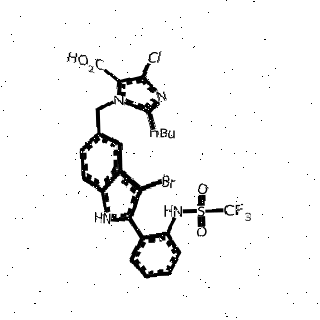 CCCCc1nc(Cl)c(C(=O)O)n1Cc1ccc2[nH]c(-c3ccccc3NS(=O)(=O)C(F)(F)F)c(Br)c2c1